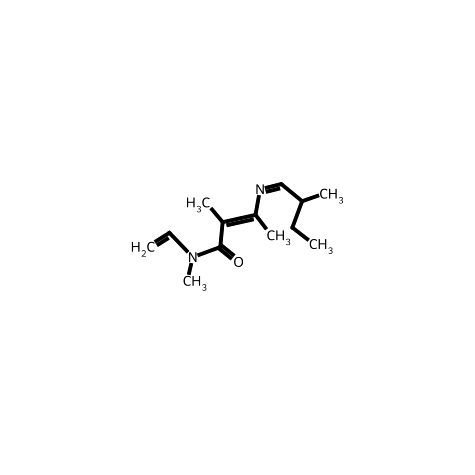 C=CN(C)C(=O)/C(C)=C(C)/N=C\C(C)CC